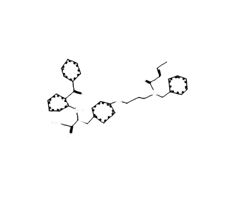 C/C=C/C(=O)N(CCCOc1ccc(C[C@H](Nc2ccccc2C(=O)c2ccccc2)C(=O)O)cc1)Cc1ccccc1